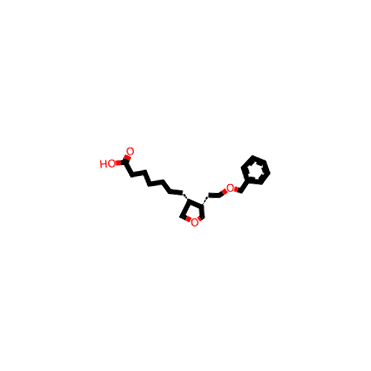 O=C(O)CCCCCC[C@H]1COC[C@H]1CCOCc1ccccc1